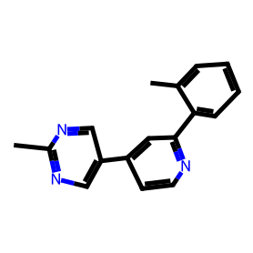 Cc1ncc(-c2ccnc(-c3ccccc3C)c2)cn1